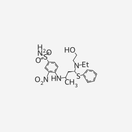 CCN(CCO)[C@H](C[C@@H](C)Nc1ccc(S(N)(=O)=O)cc1[N+](=O)[O-])Sc1ccccc1